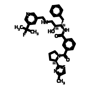 Cc1csc([C@H]2CCCN2C(=O)c2cccc(C(=O)N[C@@H](Cc3ccccc3)[C@H](O)CNCc3cncc(C(C)(C)F)c3)c2)n1